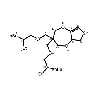 CCCCC(CC)COCC1(COCC(CC)CCCC)COC2=CSCC2OC1